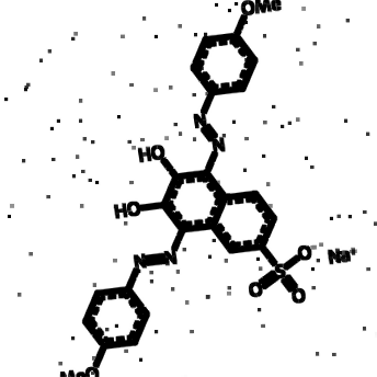 COc1ccc(N=Nc2c(O)c(O)c(N=Nc3ccc(OC)cc3)c3cc(S(=O)(=O)[O-])ccc23)cc1.[Na+]